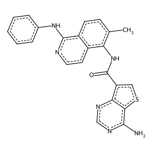 Cc1ccc2c(Nc3ccccc3)nccc2c1NC(=O)c1csc2c(N)ncnc12